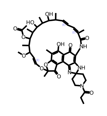 CCC(=O)N1CCC2(CC1)N=C1C(=C3NC(=O)/C(C)=C\C=C\C(C)C(O)C(C)C(O)C(C)C(OC(C)=O)C(C)C(OC)/C=C/OC4(C)Oc5c(C)c(O)c(c1c5C4=O)C3=O)N2